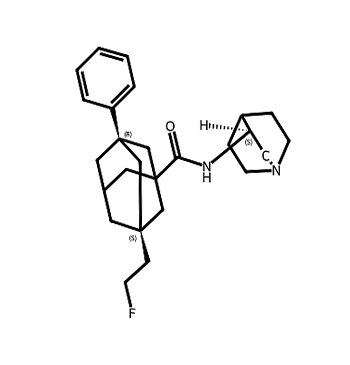 O=C(N[C@@H]1CN2CCC1CC2)C12CC3C[C@@](CCF)(C1)C[C@](c1ccccc1)(C3)C2